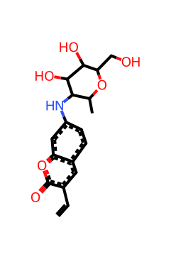 C=Cc1cc2ccc(NC3C(C)OC(CO)C(O)C3O)cc2oc1=O